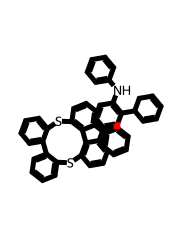 C1=CCC(c2cc(-c3cccc4c3-c3c(cccc3-c3ccccc3)Sc3ccccc3-c3ccccc3S4)ccc2Nc2ccccc2)C=C1